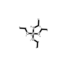 CCO[Si](OCC)(OCC)SCC